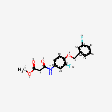 COC(=O)CC(=O)Nc1ccc(OCc2cccc(F)c2)c(F)c1